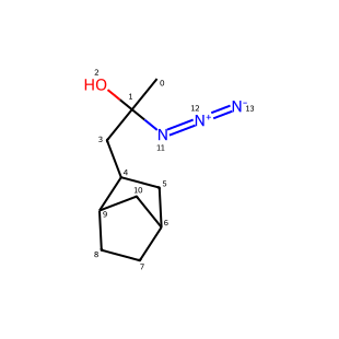 CC(O)(CC1CC2CCC1C2)N=[N+]=[N-]